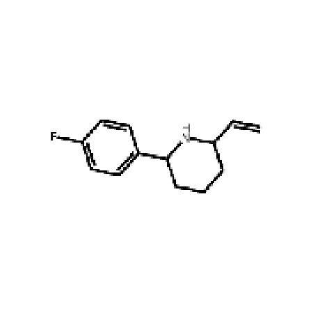 C=CC1CCCC(c2ccc(F)cc2)N1